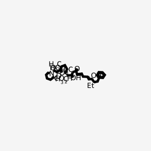 CCC(Cc1ccccc1)C(O)/C=C/C/C=C/C(=O)C(C)C(O)C(C)[C@@H]1CC[C@@H](C)[C@](O)(C(=O)C(=O)N2CCCC[C@H]2C(=O)O)O1